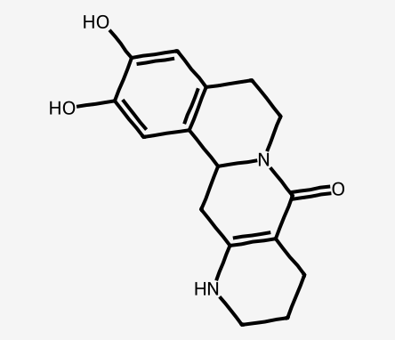 O=C1C2=C(CC3c4cc(O)c(O)cc4CCN13)NCCC2